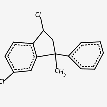 CC1(c2ccccc2)CC(Cl)c2ccc(Cl)cc21